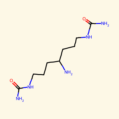 NC(=O)NCCCC(N)CCCNC(N)=O